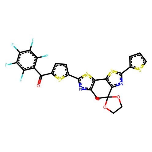 O=C(c1ccc(-c2nc3c(s2)-c2sc(-c4cccs4)nc2C2(OCCO2)C32OCCO2)s1)c1c(F)c(F)c(F)c(F)c1F